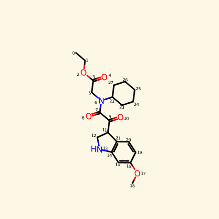 CCOC(=O)CN(C(=O)C(=O)C1CNc2cc(OC)ccc21)C1CCCCC1